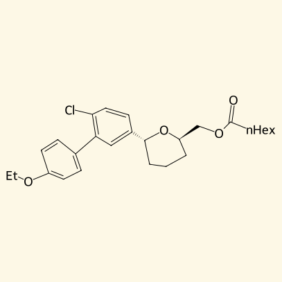 CCCCCCC(=O)OC[C@H]1CCC[C@H](c2ccc(Cl)c(-c3ccc(OCC)cc3)c2)O1